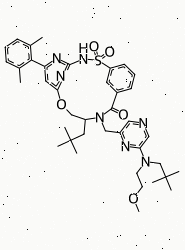 COCCN(CC(C)(C)C)c1cncc(CN2C(=O)c3cccc(c3)S(=O)(=O)Nc3nc(cc(-c4c(C)cccc4C)n3)OCC2CC(C)(C)C)n1